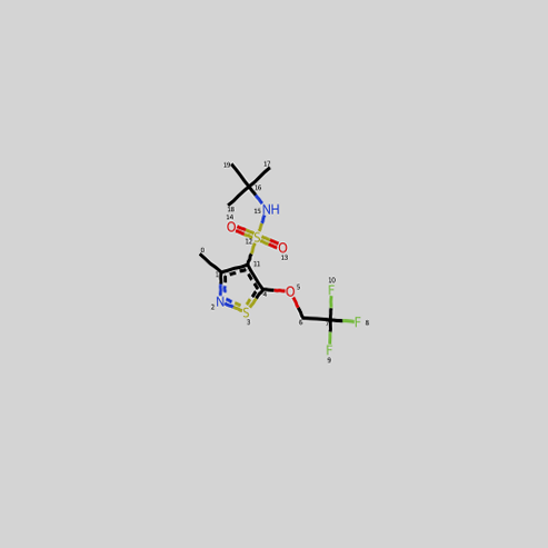 Cc1nsc(OCC(F)(F)F)c1S(=O)(=O)NC(C)(C)C